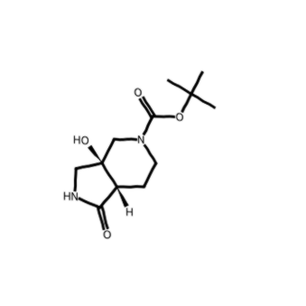 CC(C)(C)OC(=O)N1CC[C@@H]2C(=O)NC[C@]2(O)C1